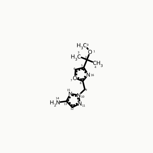 COC(C)(C)c1coc(Cn2ncc(N)n2)n1